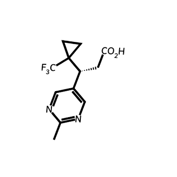 Cc1ncc([C@@H](CC(=O)O)C2(C(F)(F)F)CC2)cn1